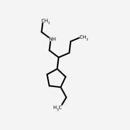 CCCC(CNCC)C1CCC(CC)C1